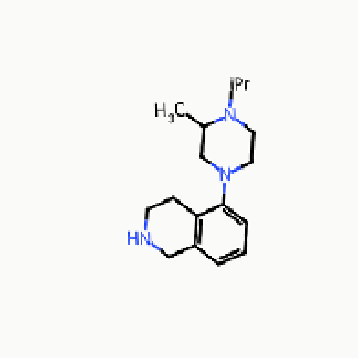 CC(C)N1CCN(c2cccc3c2CCNC3)CC1C